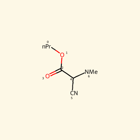 CCCOC(=O)C(C#N)NC